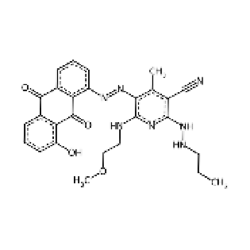 CCCNNc1nc(NCCOC)c(/N=N/c2cccc3c2C(=O)c2c(O)cccc2C3=O)c(C)c1C#N